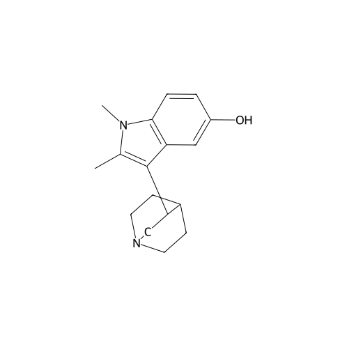 Cc1c(C2CN3CCC2CC3)c2cc(O)ccc2n1C